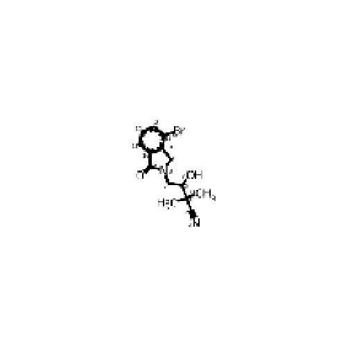 CC(C)(C#N)C(O)CN1Cc2c(Br)cccc2C1=O